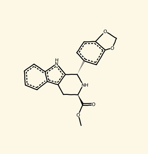 COC(=O)[C@H]1Cc2c([nH]c3ccccc23)[C@H](c2ccc3c(c2)OCO3)N1